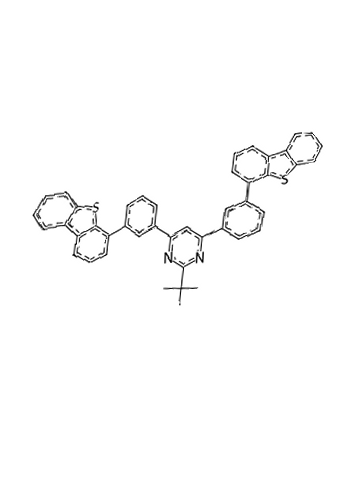 CC(C)(C)c1nc(-c2cccc(-c3cccc4c3sc3ccccc34)c2)cc(-c2cccc(-c3cccc4c3sc3ccccc34)c2)n1